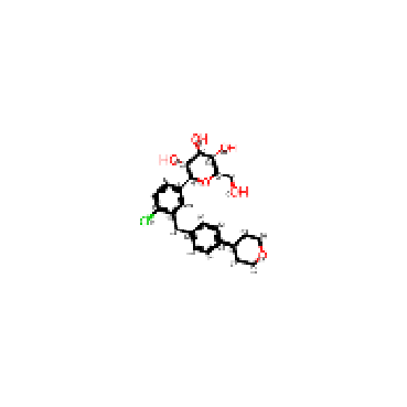 OC[C@H]1O[C@@H](c2ccc(Cl)c(Cc3ccc(C4CCOCC4)cc3)c2)[C@H](O)[C@@H](O)[C@@H]1O